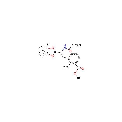 COc1c(CC(NC(=O)CC#N)B2OC3CC4CC(C4(C)C)C3(C)O2)cccc1C(=O)OC(C)(C)C